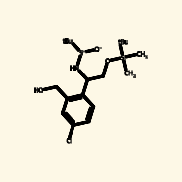 CC(C)(C)[S+]([O-])NC(CO[Si](C)(C)C(C)(C)C)c1ccc(Cl)cc1CO